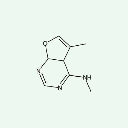 CNC1=NC=NC2OC=C(C)C12